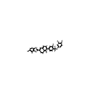 Cc1ccc2nc(-c3ccc4c(F)c(-c5ccc(C(F)(F)Oc6ccc(F)c(F)c6)c(F)c5)ccc4c3)sc2c1